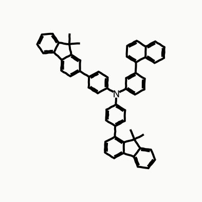 CC1(C)c2ccccc2-c2ccc(-c3ccc(N(c4ccc(-c5cccc6c5C(C)(C)c5ccccc5-6)cc4)c4cccc(-c5cccc6ccccc56)c4)cc3)cc21